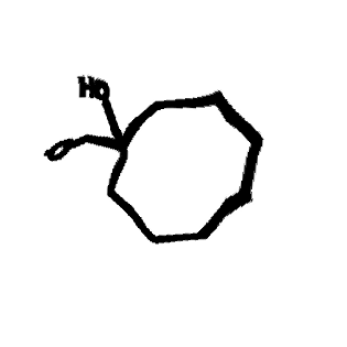 [O]C1(O)CCCCCCC1